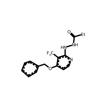 CCC(=O)NNc1nccc(OCc2ccccc2)c1C(F)(F)F